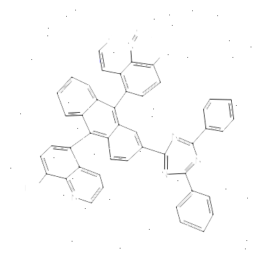 C=Nc1c(O)ccc(-c2c3ccccc3c(-c3ccc(O)c4ncccc34)c3ccc(-c4nc(-c5ccccc5)nc(-c5ccccc5)n4)cc23)c1/C=C\C